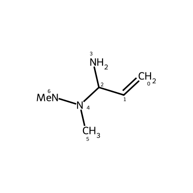 C=CC(N)N(C)NC